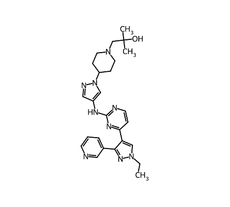 CCn1cc(-c2ccnc(Nc3cnn(C4CCN(CC(C)(C)O)CC4)c3)n2)c(-c2cccnc2)n1